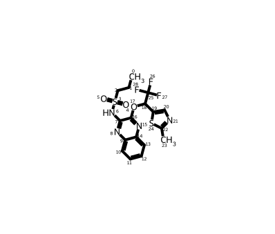 CCCS(=O)(=O)Nc1nc2ccccc2nc1OC(c1cnc(C)s1)C(F)(F)F